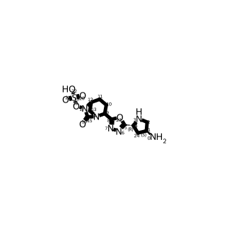 N[C@@H]1CN[C@@H](c2nnc(C3CCC4CN3C(=O)N4OS(=O)(=O)O)o2)C1